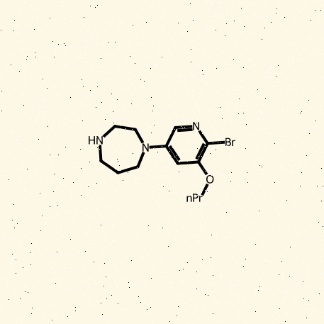 CCCOc1cc(N2CCCNCC2)cnc1Br